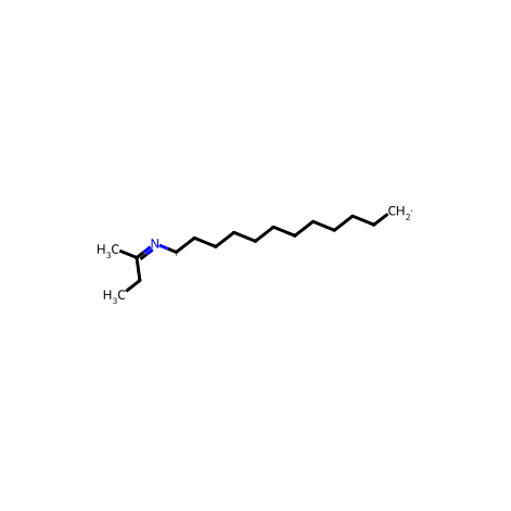 [CH2]CCCCCCCCCC[CH]N=C(C)CC